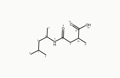 CC(C)CC(C)NC(=O)CC(C)C(=O)O